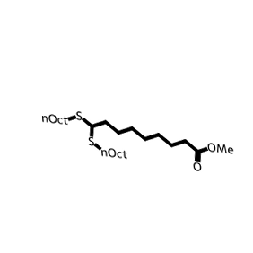 CCCCCCCCSC(CCCCCCCC(=O)OC)SCCCCCCCC